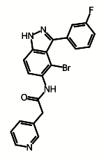 O=C(Cc1cccnc1)Nc1ccc2[nH]nc(-c3cccc(F)c3)c2c1Br